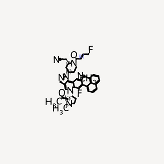 Cc1cc2c(nc(O[C@@H](C)[C@@H]3CCCN3C)c3cnn([C@H]4CCN(C(=O)/C=C/CF)[C@H](CC#N)C4)c32)c(F)c1-c1cccc2cccc(C#N)c12